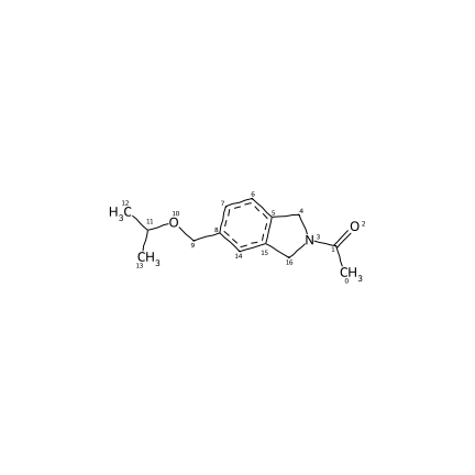 CC(=O)N1Cc2ccc(COC(C)C)cc2C1